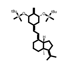 C=C1[C@H](O[Si](C)(C)C(C)(C)C)CC(=C/C=C2\CCC[C@]3(C)C(=C(C)C)CC[C@@H]23)C[C@H]1O[Si](C)(C)C(C)(C)C